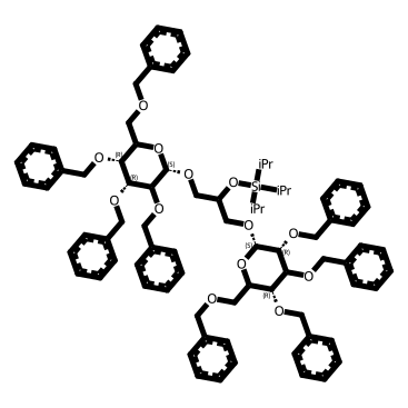 CC(C)[Si](OC(CO[C@H]1OC(COCc2ccccc2)[C@@H](OCc2ccccc2)[C@@H](OCc2ccccc2)C1OCc1ccccc1)CO[C@H]1OC(COCc2ccccc2)[C@@H](OCc2ccccc2)C(OCc2ccccc2)[C@H]1OCc1ccccc1)(C(C)C)C(C)C